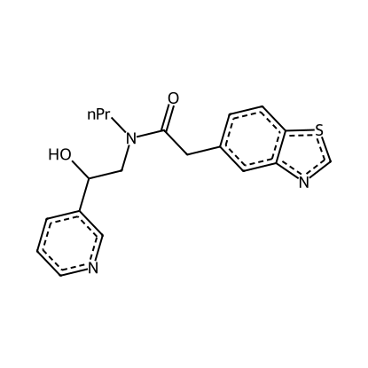 CCCN(CC(O)c1cccnc1)C(=O)Cc1ccc2scnc2c1